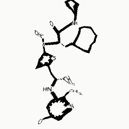 Cc1ncc(Cl)cc1N[C@@H](C)c1ccc(N(C=O)[C@@H](CC2CCCCC2)C(=O)NC2CC2)s1